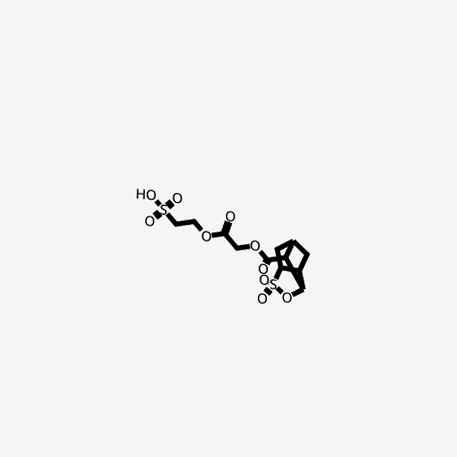 O=C(COC(=O)C1C2CC3C1OS(=O)(=O)C3C2)OCCS(=O)(=O)O